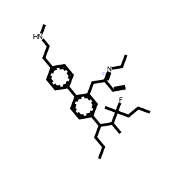 C=C/C(Cc1cc(C(CCC)C(C)C(C)(F)CCC)ccc1-c1ccc(CCNC)cc1)=N\CC